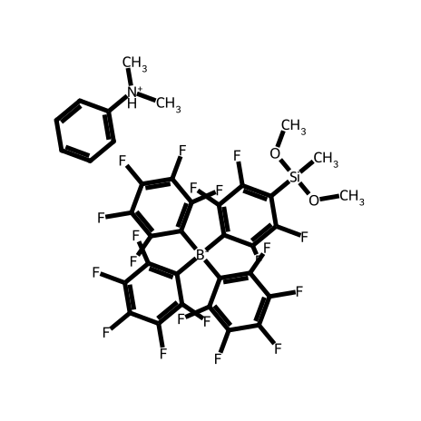 CO[Si](C)(OC)c1c(F)c(F)c([B-](c2c(F)c(F)c(F)c(F)c2F)(c2c(F)c(F)c(F)c(F)c2F)c2c(F)c(F)c(F)c(F)c2F)c(F)c1F.C[NH+](C)c1ccccc1